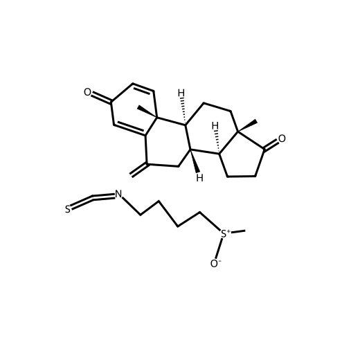 C=C1C[C@@H]2[C@H](CC[C@]3(C)C(=O)CC[C@@H]23)[C@@]2(C)C=CC(=O)C=C12.C[S+]([O-])CCCCN=C=S